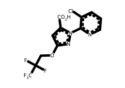 O=C(O)c1cc(OCC(F)(F)C(F)(F)F)nn1-c1ncccc1Cl